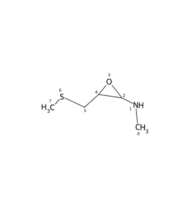 CNC1OC1CSC